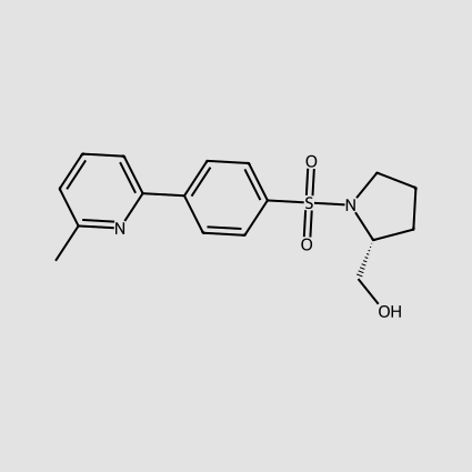 Cc1cccc(-c2ccc(S(=O)(=O)N3CCC[C@@H]3CO)cc2)n1